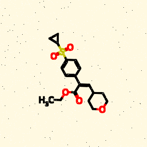 CCOC(=O)/C(=C\C1CCOCC1)c1ccc(S(=O)(=O)C2CC2)cc1